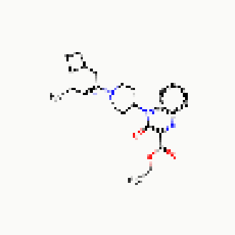 CC/C=C(\CC1CCC1)N1CCC(n2c(=O)c(C(=O)OCC)nc3ccccc32)CC1